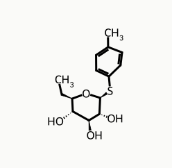 CC[C@H]1O[C@@H](Sc2ccc(C)cc2)[C@H](O)[C@@H](O)[C@@H]1O